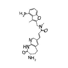 Cc1c(CN(C)C(=O)/C=C/c2cnc3c(c2)CC[C@H](N)C(=O)N3)oc2cccc(P)c12